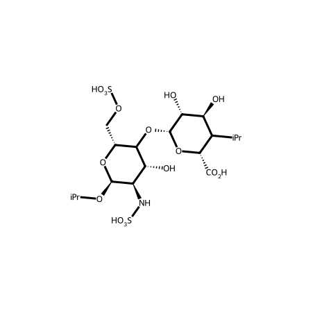 CC(C)O[C@H]1O[C@H](COS(=O)(=O)O)C(O[C@H]2O[C@@H](C(=O)O)C(C(C)C)[C@H](O)[C@H]2O)[C@H](O)[C@H]1NS(=O)(=O)O